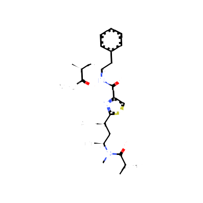 COC(=O)[C@@H](C)C[C@H](Cc1ccccc1)NC(=O)c1csc([C@@H](C[C@H](C(C)C)N(C)C(=O)[C@@H](C)C(C)C)OC(C)=O)n1